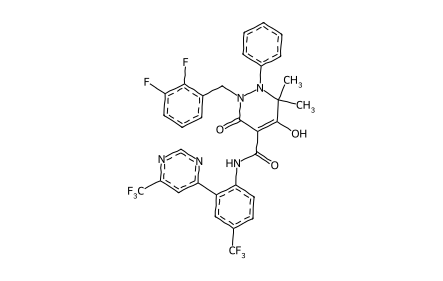 CC1(C)C(O)=C(C(=O)Nc2ccc(C(F)(F)F)cc2-c2cc(C(F)(F)F)ncn2)C(=O)N(Cc2cccc(F)c2F)N1c1ccccc1